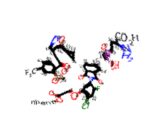 CCCCCOC(=O)COc1cc(N2C(=O)C3=C(CCCC3)C2=O)c(F)cc1Cl.CP(=O)(O)CCC(N)C(=O)O.CS(=O)(=O)c1cc(C(F)(F)F)ccc1C(=O)c1cnoc1C1CC1